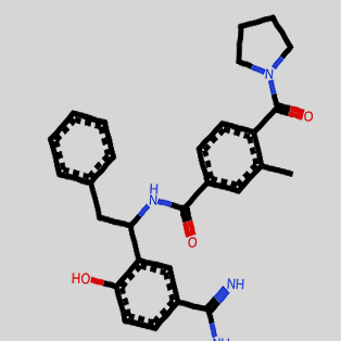 Cc1cc(C(=O)NC(Cc2ccccc2)c2cc(C(=N)N)ccc2O)ccc1C(=O)N1CCCC1